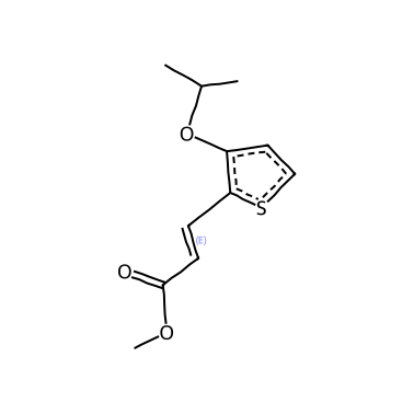 COC(=O)/C=C/c1sccc1OC(C)C